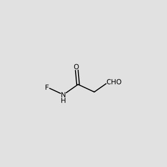 O=CCC(=O)NF